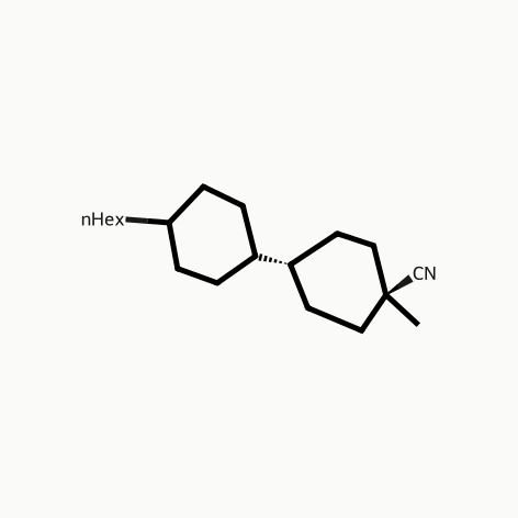 CCCCCCC1CCC([C@H]2CC[C@](C)(C#N)CC2)CC1